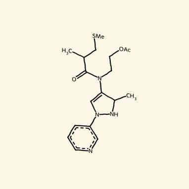 CSCC(C)C(=O)N(CCOC(C)=O)C1=CN(c2cccnc2)NC1C